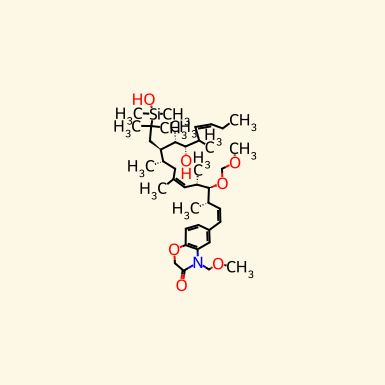 CC/C=C\C(C)[C@H](O)[C@@H](C)[C@H](CC(C)(C)[Si](C)(C)O)[C@@H](C)C/C(C)=C\[C@H](C)[C@@H](OCOC)[C@@H](C)/C=C\c1ccc2c(c1)N(COC)C(=O)CO2